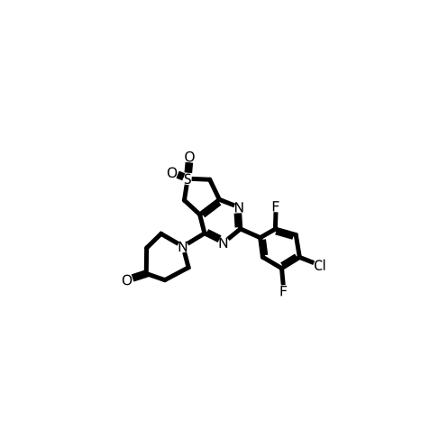 O=C1CCN(c2nc(-c3cc(F)c(Cl)cc3F)nc3c2CS(=O)(=O)C3)CC1